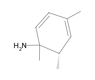 CC1=C[C@H](C)C(C)(N)C=C1